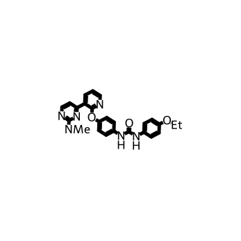 CCOc1ccc(NC(=O)Nc2ccc(Oc3ncccc3-c3ccnc(NC)n3)cc2)cc1